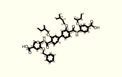 CCC(C)COc1cc(-c2ccc(C(=O)Nc3ccc(C(=O)O)cc3OC(C)CC)c(OCCC(C)C)c2)ccc1C(=O)Nc1ccc(C(=O)O)cc1OCc1ccccc1